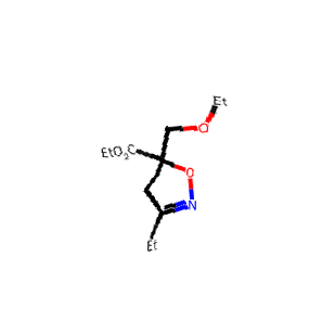 CCOCC1(C(=O)OCC)CC(CC)=NO1